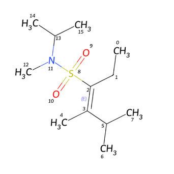 CC/C(=C(/C)C(C)C)S(=O)(=O)N(C)C(C)C